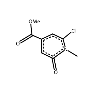 COC(=O)c1cc(Cl)n(C)c(=O)c1